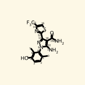 Cc1ccc(O)c(C)c1-n1nc(-c2nc(C(F)(F)F)cs2)c(C(N)=O)c1N